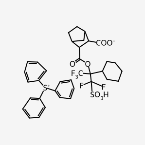 O=C([O-])C1C2CCC(C2)C1C(=O)OC(C1CCCCC1)(C(F)(F)F)C(F)(F)S(=O)(=O)O.c1ccc([S+](c2ccccc2)c2ccccc2)cc1